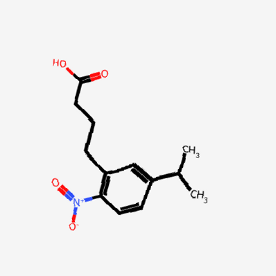 CC(C)c1ccc([N+](=O)[O-])c(CCCC(=O)O)c1